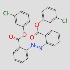 O=C(Oc1cccc(Cl)c1)c1ccccc1N=Nc1ccccc1C(=O)Oc1cccc(Cl)c1